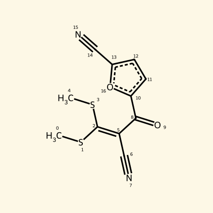 CSC(SC)=C(C#N)C(=O)c1ccc(C#N)o1